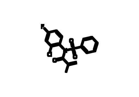 C=C(C)C(=O)N(c1ccc(F)cc1Cl)S(=O)(=O)c1ccccc1